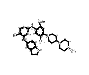 COc1cc(N2CCC(N3CCN(C)CC3)CC2)c(C)cc1Nc1ncc(Br)c(Nc2ccc3c(c2)CCO3)n1